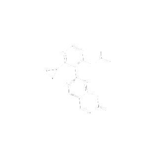 O=c1ccc2cnc(-c3c(OC(F)F)ncnc3C3CC3)nc2[nH]1